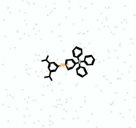 CC(C)c1cc([PH3+])cc(C(C)C)c1.c1ccc([B-](c2ccccc2)(c2ccccc2)c2ccccc2)cc1